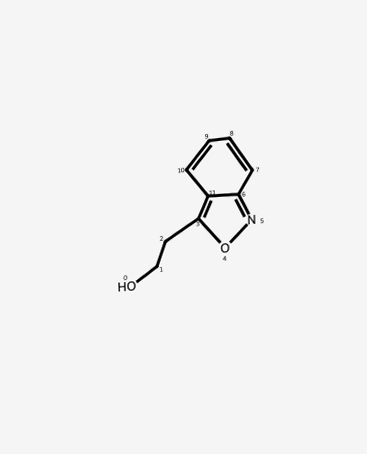 OCCc1onc2ccccc12